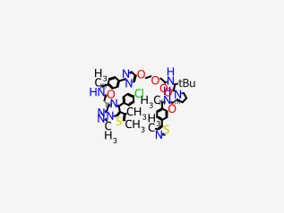 Cc1ncsc1-c1ccc([C@H](C)NC(=O)[C@@H]2CCCN2C(=O)C(NC(=O)COCCOc2cnc(-c3ccc([C@H](C)NC(=O)C[C@@H]4N=C(c5ccc(Cl)cc5)c5c(sc(C)c5C)-n5c(C)nnc54)cc3)nc2)C(C)(C)C)cc1